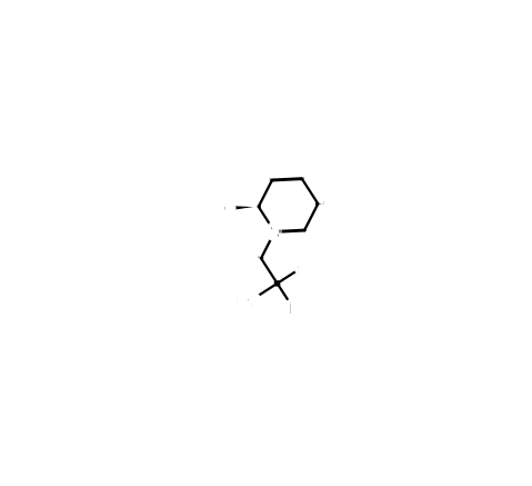 C[C@H]1CCCCN1CC(C)(C)F